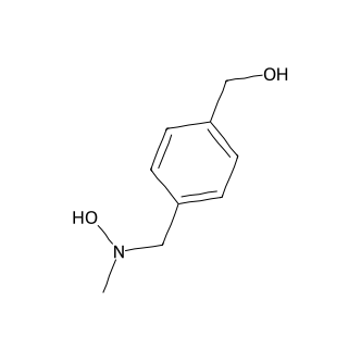 CN(O)Cc1ccc(CO)cc1